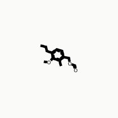 CCCc1ccc(COC=O)c(C)c1OC